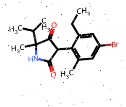 CCc1cc(Br)cc(C)c1C1C(=O)NC(C)(C(C)C)C1=O